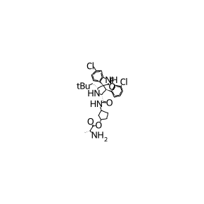 C[C@@H](N)C(=O)O[C@@H]1CC[C@H](NC(=O)[C@@H]2N[C@H](CC(C)(C)C)[C@]3(C(=O)Nc4cc(Cl)ccc43)[C@H]2c2cccc(Cl)c2F)C1